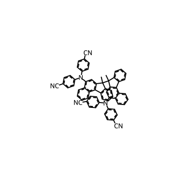 CC1(C2(C)c3ccccc3-c3c2cc(N(c2ccc(C#N)cc2)c2ccc(C#N)cc2)c2ccccc32)c2ccccc2-c2c1cc(N(c1ccc(C#N)cc1)c1ccc(C#N)cc1)c1ccccc21